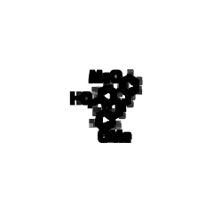 COc1cccc(CN(Cc2cccc(OC)c2)c2cccc(CO)c2)c1